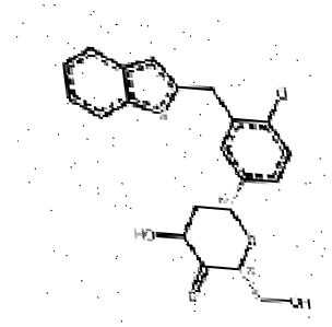 O=C1C(O)C[C@H](c2ccc(Cl)c(Cc3cc4ccccc4s3)c2)O[C@@H]1CO